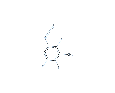 Cc1c(F)c(F)cc(N=C=O)c1F